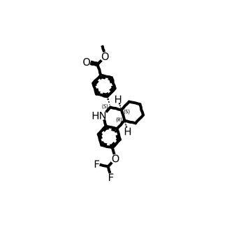 COC(=O)c1ccc([C@H]2Nc3ccc(OC(F)F)cc3[C@@H]3CCCC[C@H]23)cc1